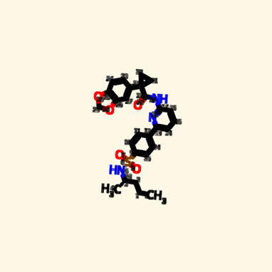 CCC[C@H](C)NS(=O)(=O)c1ccc(-c2cccc(NC(=O)C3(c4ccc5c(c4)OCO5)CC3)n2)cc1